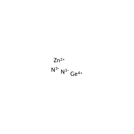 [Ge+4].[N-3].[N-3].[Zn+2]